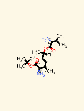 CC(CCC(C)(C)OC(=O)[C@@H](N)C(C)C)C(N)C(=O)OC(C)(C)C